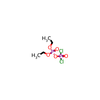 CCOP(=O)(OCC)OP(=O)(Cl)Cl